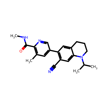 CNC(=O)c1ncc(-c2cc3c(cc2C#N)N(C(C)C)CCC3)cc1C